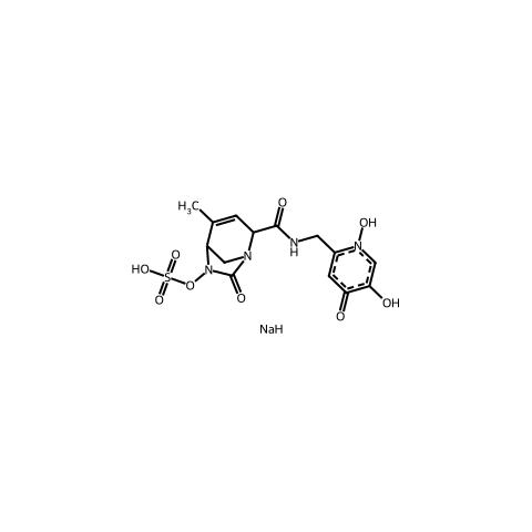 CC1=CC(C(=O)NCc2cc(=O)c(O)cn2O)N2CC1N(OS(=O)(=O)O)C2=O.[NaH]